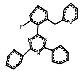 Fc1cccc(Cc2ccccn2)c1-c1nc(-c2ccccc2)nc(-c2ccccc2)n1